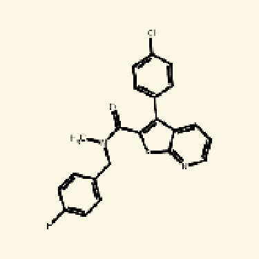 CN(Cc1ccc(F)cc1)C(=O)c1sc2ncccc2c1-c1ccc(Cl)cc1